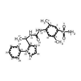 Cc1cc(S(N)(=O)=O)c(C)cc1NC(=O)NC(C)c1ncnn1-c1ncccn1